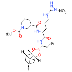 CC(C)C[C@H](NC(=O)[C@H](CCCNC1NN1[N+](=O)[O-])NC(=O)C1CCCN(C(=O)OC(C)(C)C)C1)B1O[C@@H]2C[C@@H]3C[C@@H](C3(C)C)[C@]2(C)O1